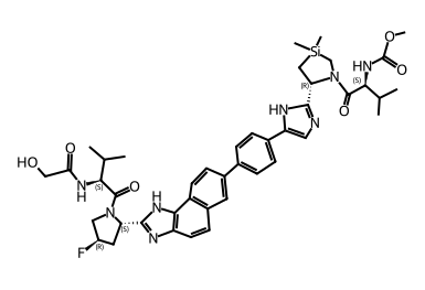 COC(=O)N[C@H](C(=O)N1C[Si](C)(C)C[C@H]1c1ncc(-c2ccc(-c3ccc4c(ccc5nc([C@@H]6C[C@@H](F)CN6C(=O)[C@@H](NC(=O)CO)C(C)C)[nH]c54)c3)cc2)[nH]1)C(C)C